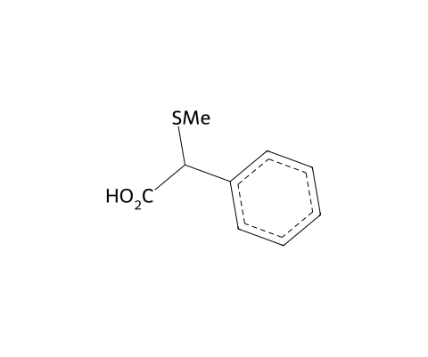 CSC(C(=O)O)c1ccccc1